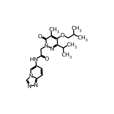 Cc1c(OCC(C)C)c(C(C)C)nn(CC(=O)Nc2ccc3nncn3c2)c1=O